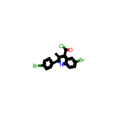 Cc1c(-c2ccc(Br)cc2)nc2ccc(Br)cc2c1C(=O)Cl